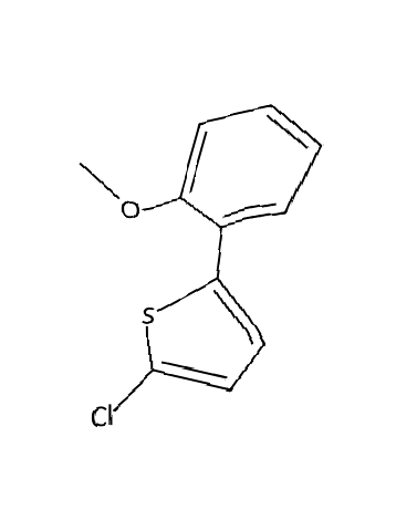 COc1ccccc1-c1ccc(Cl)s1